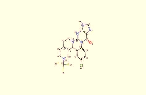 Cn1cnc2c(=O)n(-c3ccc(Cl)cc3)c(N3CCC4=C(C3)CN(C(F)(F)F)C=C4)nc21